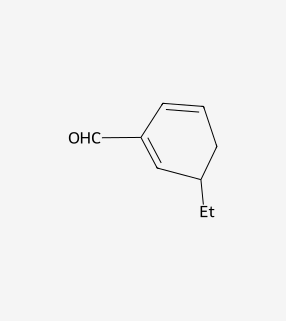 CCC1C=C(C=O)C=CC1